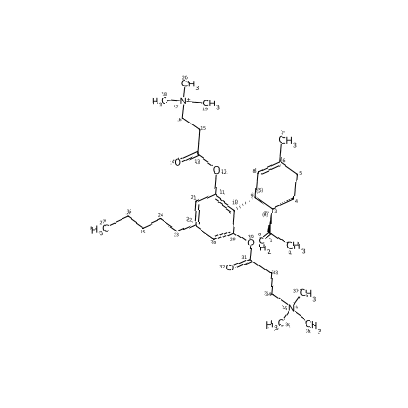 C=C(C)[C@@H]1CCC(C)=C[C@H]1c1c(OC(=O)CC[N+](C)(C)C)cc(CCCCC)cc1OC(=O)CC[N+](C)(C)C